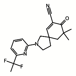 CC1(C)CC2(C=C(C#N)C1=O)CCN(c1cccc(C(C)(F)F)n1)C2